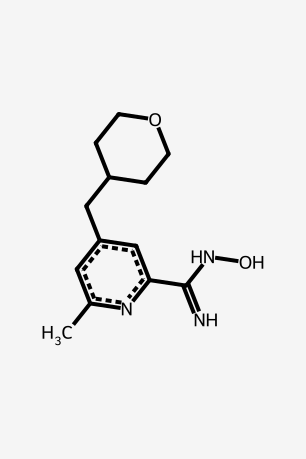 Cc1cc(CC2CCOCC2)cc(C(=N)NO)n1